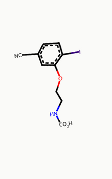 N#Cc1ccc(I)c(OCCNC(=O)O)c1